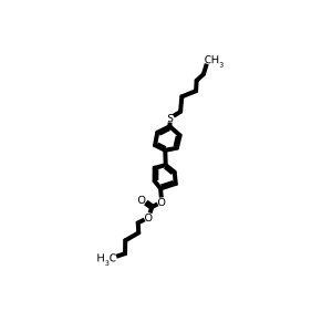 CCCCCCSc1ccc(-c2ccc(OC(=O)OCCCCC)cc2)cc1